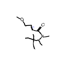 COC/C=C/C(=O)N(C)C(C)C(C)(C)C